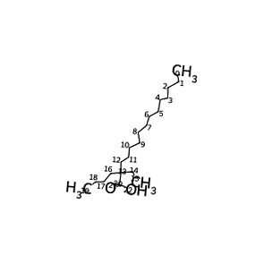 CCCCCCCCCCCCCC(CC)(CCCC)C(=O)O